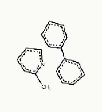 Cc1ccccn1.c1ccc(-c2ccccc2)cc1